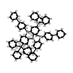 c1ccc(-c2ccc(N3c4ccc(-c5ccccc5)cc4B4c5cc6c(cc5N(c5ccc(-c7ccccc7)cc5)c5cc(-n7c8ccccc8c8ccccc87)cc3c54)-c3ccccc3C6(c3ccccc3)c3ccccc3)cc2)cc1